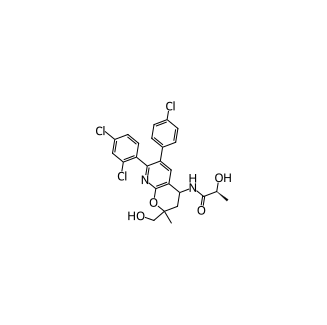 C[C@H](O)C(=O)NC1CC(C)(CO)Oc2nc(-c3ccc(Cl)cc3Cl)c(-c3ccc(Cl)cc3)cc21